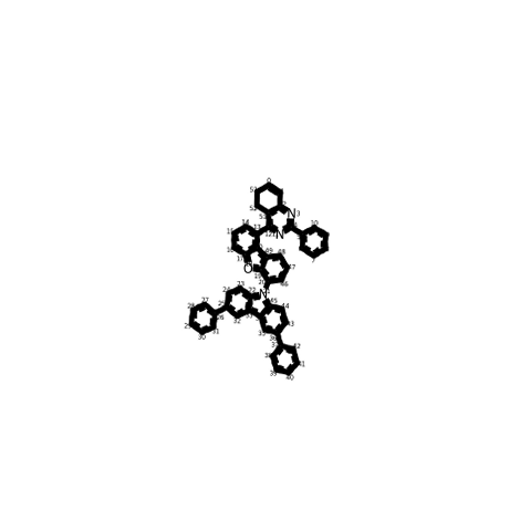 C1=Cc2nc(-c3ccccc3)nc(-c3cccc4oc5c(-n6c7ccc(-c8ccccc8)cc7c7cc(-c8ccccc8)ccc76)cccc5c34)c2CC1